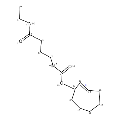 CCNC(=O)CCCNC(=O)OC1/C=C/CCCCC1